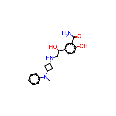 CN(c1ccccc1)[C@H]1C[C@@H](NCC(O)c2ccc(O)c(C(N)=O)c2)C1